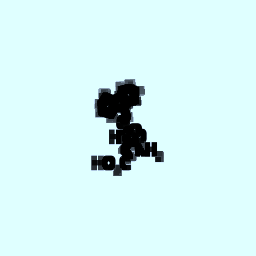 NC(=O)C(CCC(=O)O)NC(=O)OCC1c2ccccc2-c2ccccc21